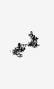 CN[C@@H](C)C(=O)N[C@H](C(=O)N1CC(C)(C)c2[nH]c(=O)c(Cc3ccc(F)cc3)cc21)[C@H](C)n1cc(CCCCCCc2cn([C@@H](C)[C@H](NC(=O)[C@H](C)NC)C(=O)N3CC(C)(C)c4[nH]c(=O)c(Cc5ccc(F)cc5)cc43)nn2)nn1